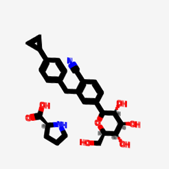 N#Cc1ccc(C2O[C@H](CO)[C@@H](O)[C@H](O)[C@H]2O)cc1Cc1ccc(C2CC2)cc1.O=C(O)[C@@H]1CCCN1